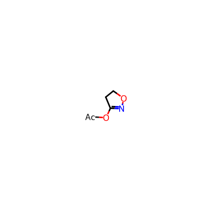 CC(=O)OC1=NOCC1